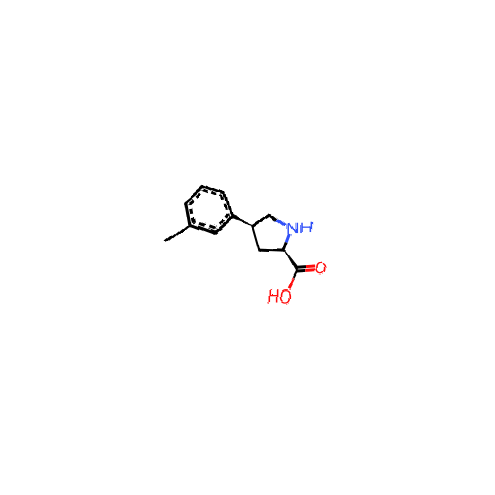 Cc1cccc([C@H]2CN[C@@H](C(=O)O)C2)c1